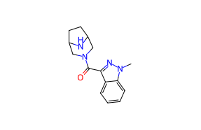 Cn1nc(C(=O)N2CC3CCC(C2)N3)c2ccccc21